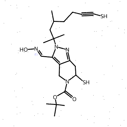 CC(CCC#CS)CC(C)(C)n1nc2c(c1/C=N/O)CN(C(=O)OC(C)(C)C)C(S)C2